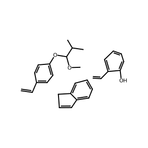 C1=Cc2ccccc2C1.C=Cc1ccc(OC(OC)C(C)C)cc1.C=Cc1ccccc1O